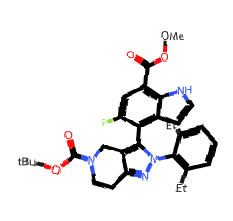 CCc1cccc(CC)c1-n1nc2c(c1-c1c(F)cc(C(=O)OOC)c3[nH]ccc13)CN(C(=O)OC(C)(C)C)CC2